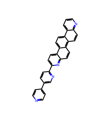 c1cnc2ccc3c(ccc4c5ccc(-c6ccc(-c7ccncc7)cn6)nc5ccc43)c2c1